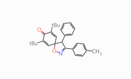 Cc1ccc(C2=NOC3(C=C(C(C)(C)C)C(=O)C(C(C)(C)C)=C3)C2c2ccccc2)cc1